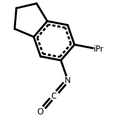 CC(C)c1cc2c(cc1N=C=O)CCC2